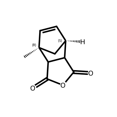 C[C@]12C=C[C@H](C1)C1C(=O)OC(=O)C12